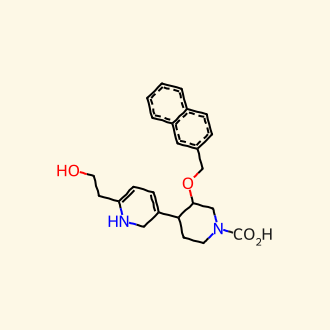 O=C(O)N1CCC(C2=CC=C(CCO)NC2)C(OCc2ccc3ccccc3c2)C1